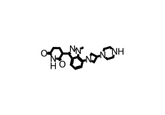 Cn1nc(C2CCC(=O)NC2=O)c2cccc(N3CC(N4CCNCC4)C3)c21